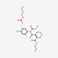 CCCCOC(=O)CSc1cc(N(C(=O)CCl)C(=O)C2=C(C(=O)OCCC)CCCC2)c(F)cc1Cl